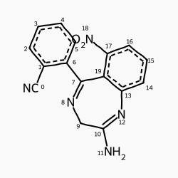 N#Cc1ccccc1C1=NCC(N)=Nc2cccc([N+](=O)[O-])c21